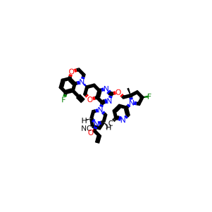 C#Cc1c(F)ccc2c1N([C@@H]1COc3c(nc(OC[C@]4(C)C[C@@H](F)CN4c4ccc(C(F)(F)F)nc4)nc3N3C[C@H]4CC(C#N)[C@@H](C3)N4C(=O)C=C)C1)CCO2